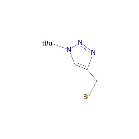 CC(C)(C)n1cc(CBr)nn1